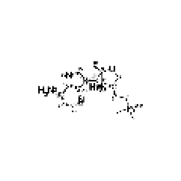 C=P(C)(C)CC[C@]12CO[C@](C)([C@@H]1O)[C@H](n1cnc3c(N)ccnc31)O2